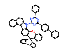 c1ccc(-c2ccc(-c3nc(-c4ccccc4)nc(-n4c5ccc6ccccc6c5c5ccc6c(c54)Oc4ccccc4C64c5ccccc5-c5ccccc54)n3)cc2)cc1